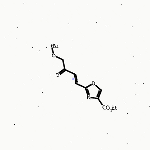 CCOC(=O)c1coc(/C=C/C(=O)COC(C)(C)C)n1